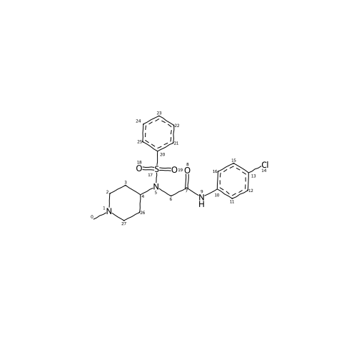 CN1CCC(N(CC(=O)Nc2ccc(Cl)cc2)S(=O)(=O)c2ccccc2)CC1